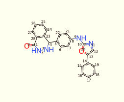 O=C1NNC(c2ccc(Nc3ncc(-c4ccccc4)o3)cc2)c2ccccc21